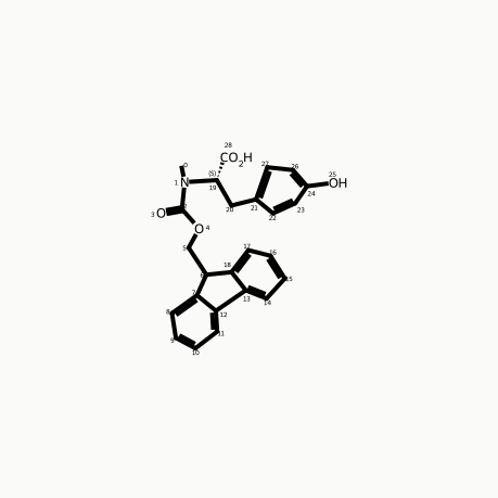 CN(C(=O)OCC1c2ccccc2-c2ccccc21)[C@@H](Cc1ccc(O)cc1)C(=O)O